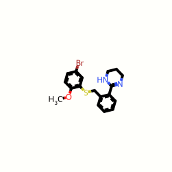 COc1ccc(Br)cc1SCc1ccccc1C1=NCCCN1